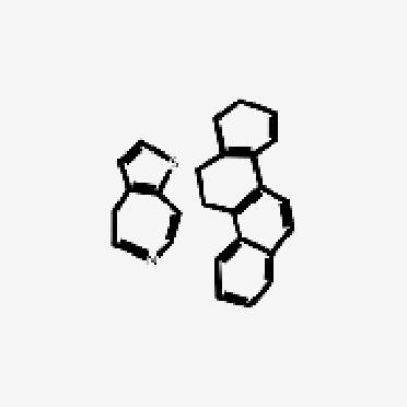 C1=CC2=C(CC1)CCc1c2ccc2ccccc12.C1=Cc2sccc2CC=N1